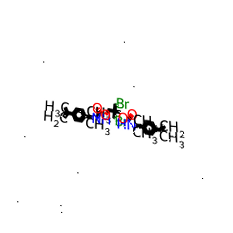 C=C(C)c1ccc(C(C)(C)NC(=O)OCC(CBr)(CBr)COC(=O)NC(C)(C)c2ccc(C(=C)C)cc2)cc1